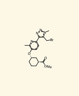 COC(=O)[C@H]1CCC[C@H](Oc2ccc(-c3nnn(C)c3CBr)nc2C)C1